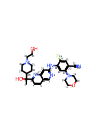 CC(O)(c1ccc2cnc(Nc3cc(N4CCOCC4)c(C#N)cc3F)cc2n1)C1CCN(CCO)CC1